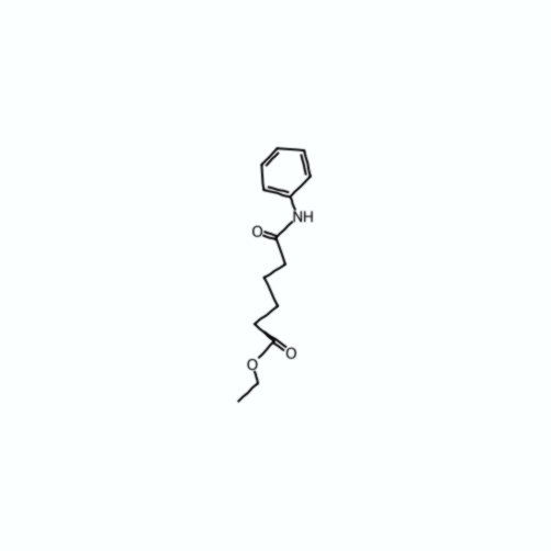 CCOC(=O)CCCCC(=O)Nc1ccccc1